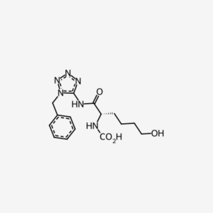 O=C(O)N[C@@H](CCCCO)C(=O)Nc1nnnn1Cc1ccccc1